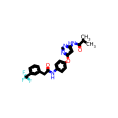 CC(C)C(=O)Nc1cc(Oc2ccc(NC(=O)Cc3cccc(C(F)(F)F)c3)cc2)ncn1